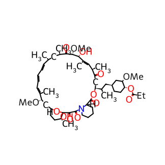 CCC(=O)O[C@@H]1CC[C@@H](CC(C)[C@@H]2CC(=O)[C@H](C)/C=C(\C)[C@@H](O)[C@@H](OC)C(=O)[C@H](C)C[C@H](C)/C=C/C=C/C=C(\C)[C@@H](OC)C[C@@H]3CC[C@@H](C)[C@@](O)(O3)C(=O)C(=O)N3CCCC[C@H]3C(=O)O2)C[C@H]1OC